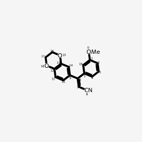 COc1cccc(C(=CC#N)c2ccc3c(c2)OCCO3)c1